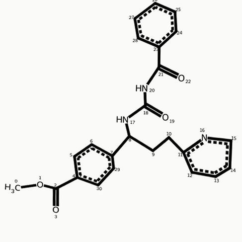 COC(=O)c1ccc(C(CCc2ccccn2)NC(=O)NC(=O)c2ccccc2)cc1